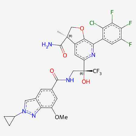 COc1cc(C(=O)NC[C@@](O)(c2cc3c(c(-c4cc(F)c(F)c(F)c4Cl)n2)OC[C@]3(C)C(N)=O)C(F)(F)F)cc2cn(C3CC3)nc12